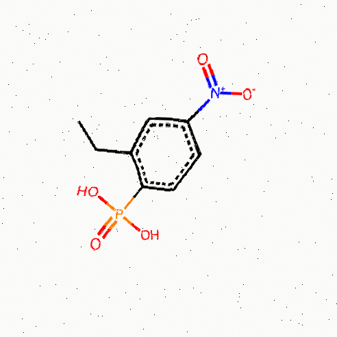 CCc1cc([N+](=O)[O-])ccc1P(=O)(O)O